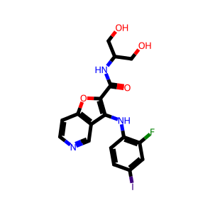 O=C(NC(CO)CO)c1oc2ccncc2c1Nc1ccc(I)cc1F